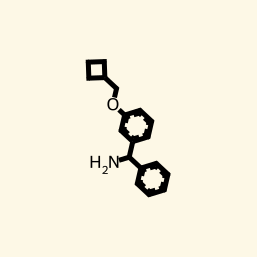 NC(c1ccccc1)c1cccc(OCC2CCC2)c1